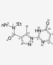 CCCN(CC)C(=O)c1cnn(-c2nc(C)cc(=O)[nH]2)c1C